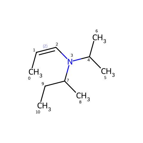 C/C=C\N(C(C)C)C(C)CC